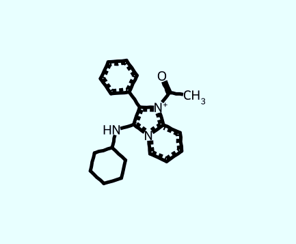 CC(=O)[n+]1c(-c2ccccc2)c(NC2CCCCC2)n2ccccc21